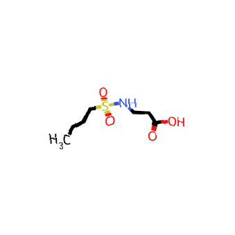 CCCCS(=O)(=O)NCCC(=O)O